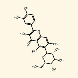 O=c1c(O)c(-c2ccc(O)c(O)c2)oc2cc(O)c(C3O[C@H](CO)[C@@H](O)[C@H](O)[C@H]3O)c(O)c12